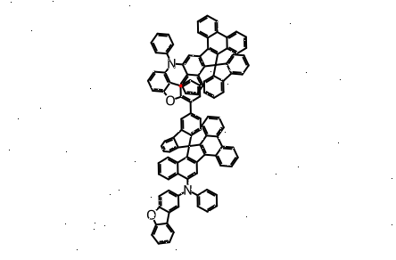 c1ccc(N(c2ccc3oc4ccccc4c3c2)c2cc3c(c4ccccc24)C2(c4ccccc4-c4cc(-c5cccc6c5oc5cccc(N(c7ccccc7)c7cc8c(c9ccccc79)C7(c9ccccc9-c9ccccc97)c7c-8c8ccccc8c8ccccc78)c56)ccc42)c2c-3c3ccccc3c3ccccc23)cc1